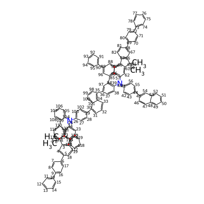 CC1(C)c2cc(-c3ccc(-c4ccccc4)cc3)ccc2-c2ccc(N(c3ccc(-c4cccc5c(-c6ccc(N(c7ccc(-c8ccc9ccccc9c8)cc7)c7ccc8c(c7)C(C)(C)c7cc(-c9ccc(-c%10ccccc%10)cc9)ccc7-8)c(-c7cccc(-c8ccccc8)c7)c6)cccc45)cc3)c3ccccc3-c3cccc(-c4ccccc4)c3)cc21